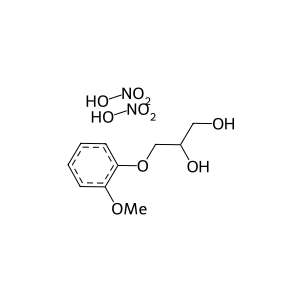 COc1ccccc1OCC(O)CO.O=[N+]([O-])O.O=[N+]([O-])O